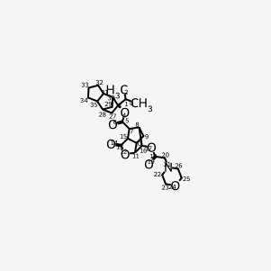 CC(C)C1(OC(=O)C2C3CC4C(OC(=O)C42)C3OC(=O)CN2CCOCC2)CC2CC1C1CCCC21